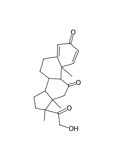 CC12C=CC(=O)C=C1CCC1C2C(=O)CC2(C)C1CCC2(C)C(=O)CO